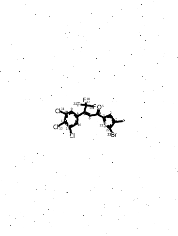 Cc1cc(C(=O)C=C(c2cc(Cl)c(Cl)c(Cl)c2)C(F)(F)F)sc1Br